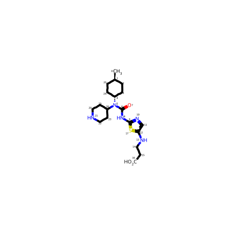 C[C@H]1CC[C@H](N(C(=O)Nc2ncc(NCCC(=O)O)s2)C2CCNCC2)CC1